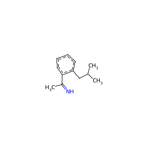 CC(=N)c1ccccc1CC(C)C